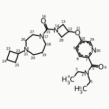 CCN(CC)C(=O)c1ccc(OC2CN(C(=O)N3CCCN(C4CCC4)CC3)C2)cn1